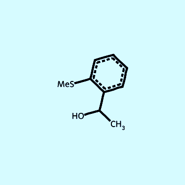 CSc1ccccc1C(C)O